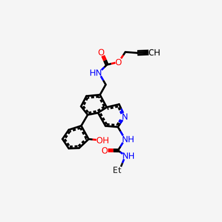 C#CCOC(=O)NCc1ccc(-c2ccccc2O)c2cc(NC(=O)NCC)ncc12